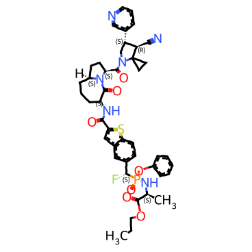 CCCOC(=O)[C@H](C)NP(=O)(Oc1ccccc1)[C@H](F)c1ccc2sc(C(=O)N[C@H]3CCC[C@H]4CC[C@@H](C(=O)N5C[C@H](c6cccnc6)[C@@H](C#N)C56CC6)N4C3=O)cc2c1